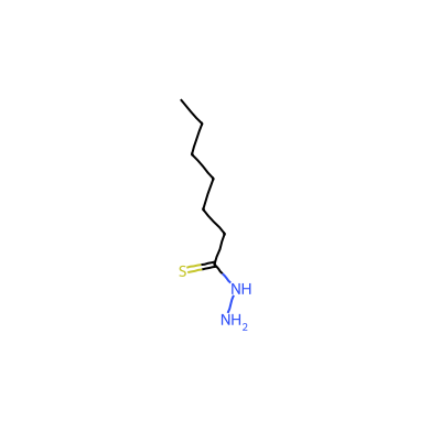 CCCCCCC(=S)NN